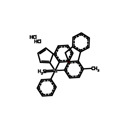 Cc1cc[c]([Zr](=[SiH2])([C]2=CC=CC2)([c]2ccccc2)[c]2ccccc2)c2c1-c1ccccc1C2.Cl.Cl